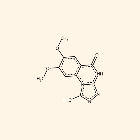 COc1cc2c(=O)[nH]c3nnc(C)n3c2cc1OC